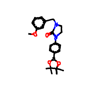 COc1cccc(CN2CCN(c3ccc(B4OC(C)(C)C(C)(C)O4)cc3)C2=O)c1